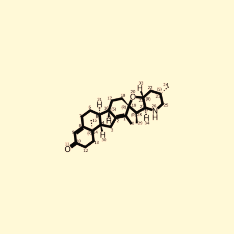 CC1=C2C[C@H]3[C@@H](CCC4=CC(=O)CC[C@@]43C)[C@@H]2CC[C@]12O[C@@H]1C[C@H](C)CN[C@H]1[C@H]2C